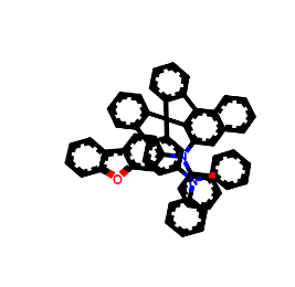 c1ccc(N(c2ccccc2)c2ccc3c(c2)C2(c4ccccc4-3)c3ccccc3-c3c2c(N(c2ccccc2)c2ccc4c(c2)oc2ccccc24)cc2ccccc32)cc1